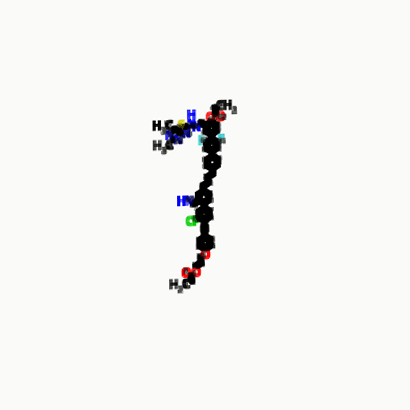 C=CC(=O)OCCCOc1ccc(C#Cc2ccc(C3CCC(CCCCC4CCC(c5cc(F)c(-c6ccc(OC(=O)C=C)c(/C=N/Nc7nc8nc(C)nc(C)c8s7)c6)c(F)c5)CC4)CC3C=N)cc2Cl)cc1